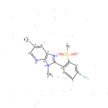 CCS(=O)(=O)c1cc(F)ccc1-c1nc2cc(C(F)(F)F)cnc2n1C